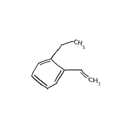 C=Cc1c[c]ccc1CC